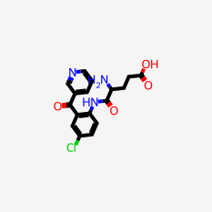 NC(CCC(=O)O)C(=O)Nc1ccc(Cl)cc1C(=O)c1cccnc1